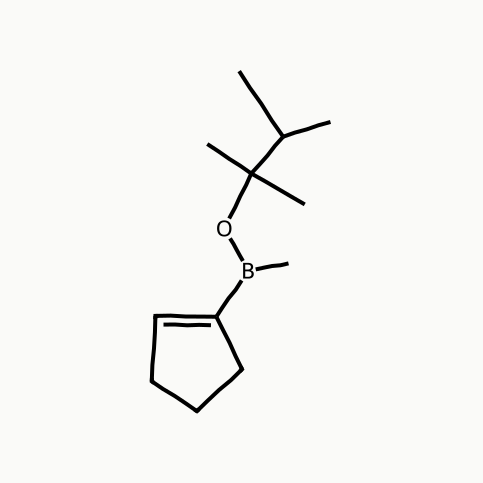 CB(OC(C)(C)C(C)C)C1=CCCC1